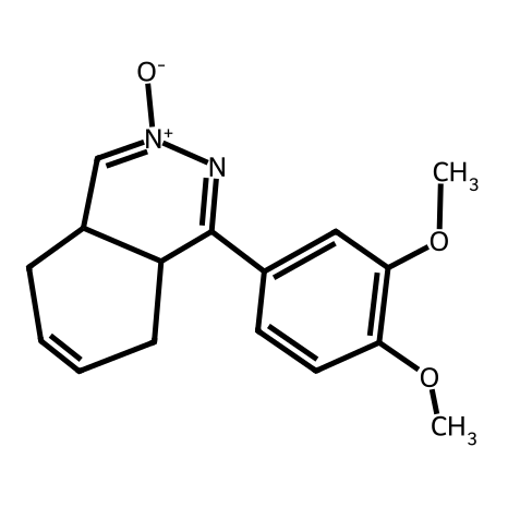 COc1ccc(C2=N[N+]([O-])=CC3CC=CCC23)cc1OC